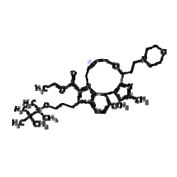 CCOC(=O)c1c(CCCO[Si](C)(C)C(C)(C)C)c2ccc(Cl)c3c2n1C/C=C\COC(CCN1CCOCC1)c1nn(C)c(C)c1-3